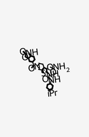 CC(C)c1ccc(NC(=O)Nc2sc3c(c2OC(N)=O)CCN(C(=O)c2ccc4[nH]c(=O)oc4c2)C3)cc1